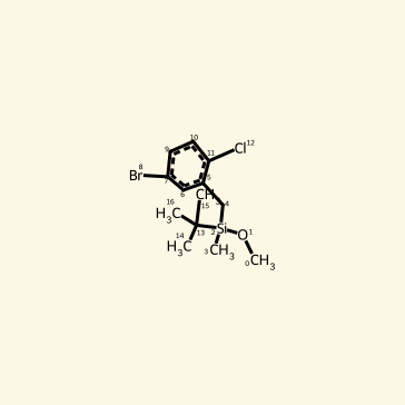 CO[Si](C)(Cc1cc(Br)ccc1Cl)C(C)(C)C